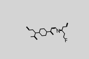 C=CC/C(CCF)=N\C=C/C(=C)C1CCC(C(CC=C)C(=C)C)CC1